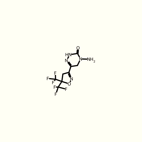 NN1CC(C2=NOC(C(F)(F)F)(C(F)(F)F)C2)=NNC1=O